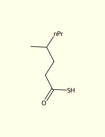 CCCC(C)CCC(=O)S